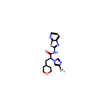 O=C(Nc1nc2cccnc2s1)C(CC1CCOCC1)n1cnc(C(F)(F)F)c1